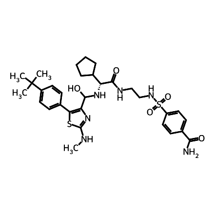 CNc1nc(C(O)N[C@@H](C(=O)NCCNS(=O)(=O)c2ccc(C(N)=O)cc2)C2CCCC2)c(-c2ccc(C(C)(C)C)cc2)s1